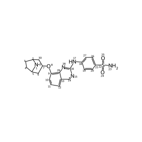 CN1C2CCC1CC(Oc1cccc3cnc(Nc4ccc(S(N)(=O)=O)cc4)nc13)C2